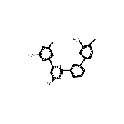 Cc1cc(C)cc(-c2cc(C(F)(F)F)nc(-c3cccc(-c4ccc(F)c(C(=O)O)c4)c3)n2)c1